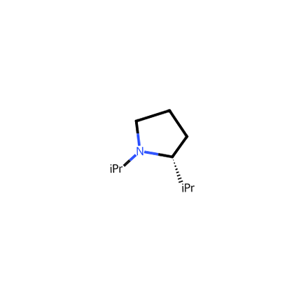 CC(C)[C@H]1CCCN1C(C)C